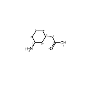 N[C@H]1CCC[C@H](CC(=O)O)C1